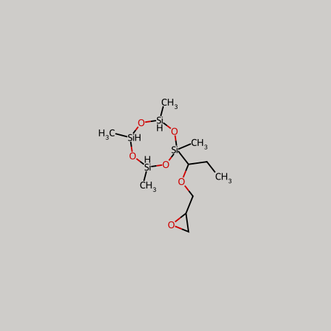 CCC(OCC1CO1)[Si]1(C)O[SiH](C)O[SiH](C)O[SiH](C)O1